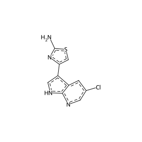 Nc1nc(-c2c[nH]c3ncc(Cl)cc23)cs1